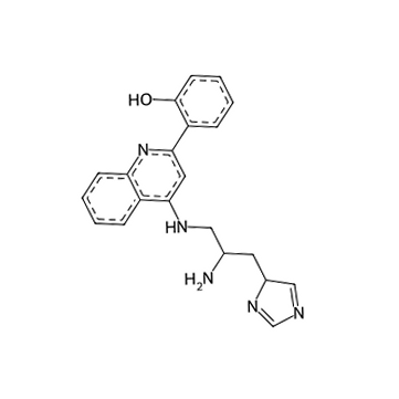 NC(CNc1cc(-c2ccccc2O)nc2ccccc12)CC1C=NC=N1